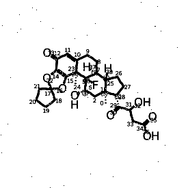 C[C@]12C[C@H](O)[C@@]3(F)[C@@H](CCC4=CC(=O)C5=C(OC6(CCCC6)O5)[C@@]43C)[C@@H]1CC[C@@H]2C(=O)C(O)CC(=O)O